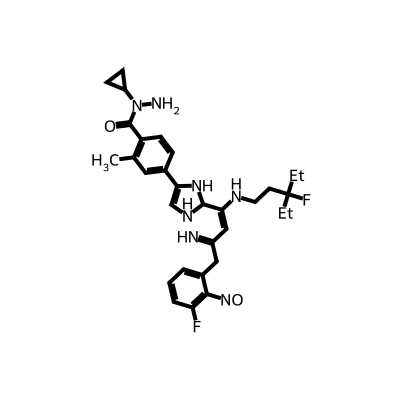 CCC(F)(CC)CCN/C(=C/C(=N)Cc1cccc(F)c1N=O)C1NC=C(c2ccc(C(=O)N(N)C3CC3)c(C)c2)N1